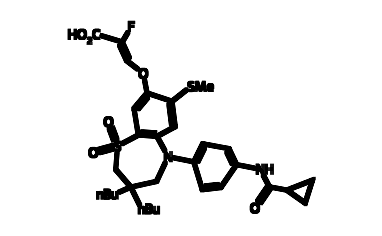 CCCCC1(CCCC)CN(c2ccc(NC(=O)C3CC3)cc2)c2cc(SC)c(OC=C(F)C(=O)O)cc2S(=O)(=O)C1